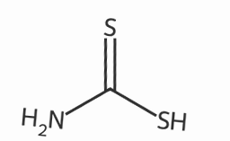 NC(=S)S